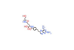 CC(C)(CCO)NC(=O)CCC(NC(=O)c1ccc(CCc2cnc3nc(N)nc(N)c3n2)cc1)C(=O)O